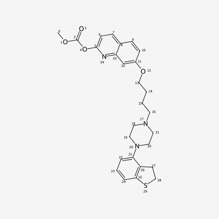 COC(=O)Oc1ccc2ccc(OCCCCN3CCN(c4cccc5c4CCS5)CC3)cc2n1